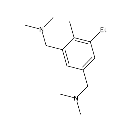 CCc1cc(CN(C)C)cc(CN(C)C)c1C